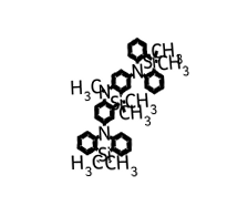 CN1c2ccc(N3c4ccccc4[Si](C)(C)c4ccccc43)cc2[Si](C)(C)c2cc(N3c4ccccc4[Si](C)(C)c4ccccc43)ccc21